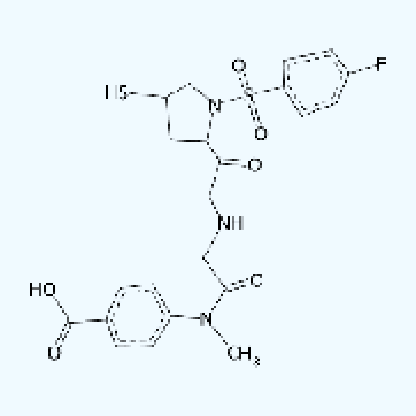 CN(C(=O)CNCC(=O)C1CC(S)CN1S(=O)(=O)c1ccc(F)cc1)c1ccc(C(=O)O)cc1